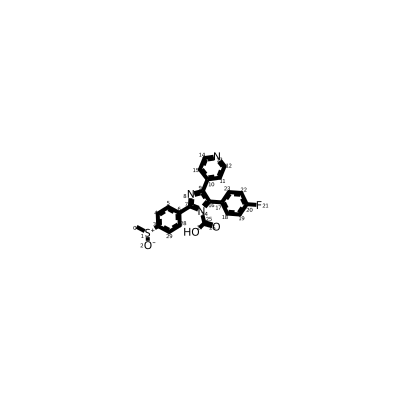 C[S+]([O-])c1ccc(-c2nc(-c3ccncc3)c(-c3ccc(F)cc3)n2C(=O)O)cc1